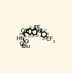 CC(C)(C)OC(=O)NC[C@](C)(O)c1ccc2c(C(F)(F)F)c(OC3CCC(C(F)(F)F)CC3)ccc2c1